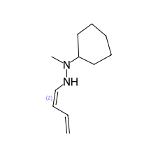 C=C/C=C\NN(C)C1CCCCC1